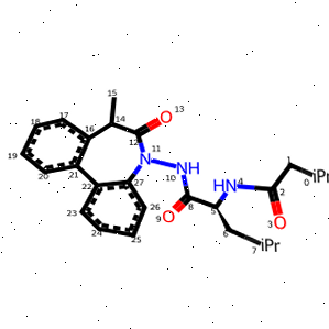 CC(C)CC(=O)N[C@@H](CC(C)C)C(=O)NN1C(=O)C(C)c2ccccc2-c2ccccc21